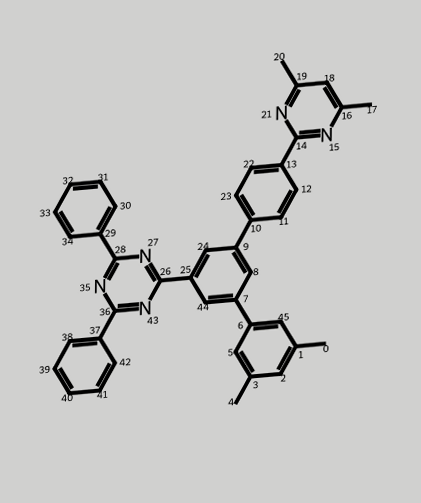 Cc1cc(C)cc(-c2cc(-c3ccc(-c4nc(C)cc(C)n4)cc3)cc(-c3nc(-c4ccccc4)nc(-c4ccccc4)n3)c2)c1